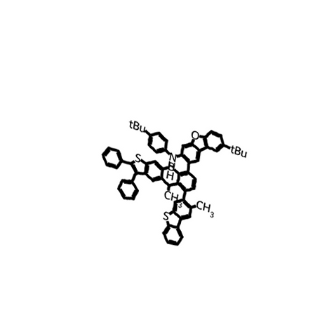 Cc1cc2c(cc1-c1ccc(-c3cc4c(cc3Nc3ccc(C(C)(C)C)cc3)oc3ccc(C(C)(C)C)cc34)c3c1C(C)c1cc4c(-c5ccccc5)c(-c5ccccc5)sc4cc1B3)sc1ccccc12